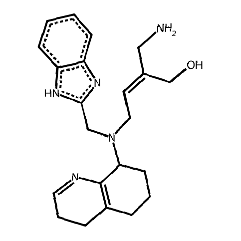 NC/C(=C/CN(Cc1nc2ccccc2[nH]1)C1CCCC2=C1N=CCC2)CO